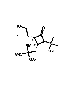 CSC(C[C@@H]1[C@H](CCO)C(=O)N1[Si](C)(C)C(C)(C)C)(SC)SC